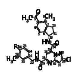 CC(=O)c1ccc2c(c1C)CC[C@@H]2NC(=O)c1cc(C(=O)NCc2ccc(F)c(C)c2)nc2cc(Cl)nn12